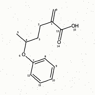 C=C(CCC(C)Oc1ccccc1)C(=O)O